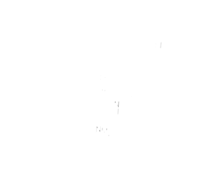 O=C(Nc1cccc(C(F)(F)F)c1)c1ccccc1[N+](=O)[O-]